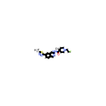 CCC1(C(=O)Nc2cc3cc(-c4nnc(C)s4)ccc3cn2)CCN(CCF)CC1